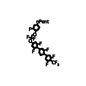 CCCCCc1ccc(OCC(F)(F)Oc2cc(F)c(-c3ccc(-c4cc(F)c(C(F)(F)F)c(F)c4)c(F)c3)c(F)c2)c(F)c1